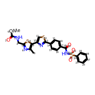 COC(=O)NCc1nc(C)c(-c2csc(-c3ccc(C(=O)NS(=O)(=O)c4ccccc4)cc3)n2)s1